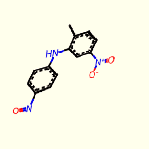 Cc1ccc([N+](=O)[O-])cc1Nc1ccc(N=O)cc1